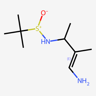 C/C(=C\N)C(C)N[S+]([O-])C(C)(C)C